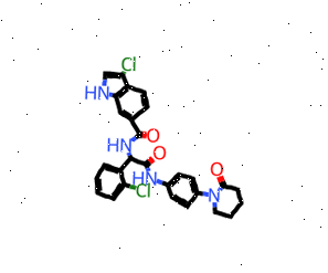 O=C(NC(C(=O)Nc1ccc(N2CCCCC2=O)cc1)c1ccccc1Cl)c1ccc2c(Cl)c[nH]c2c1